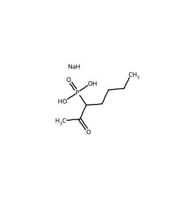 CCCCC(C(C)=O)P(=O)(O)O.[NaH]